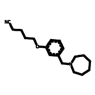 N#CCCCCOc1cccc(CN2CCCCCC2)c1